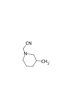 [CH2]C1CCCN(CC#N)C1